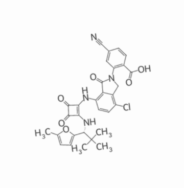 Cc1ccc([C@H](Nc2c(Nc3ccc(Cl)c4c3C(=O)N(c3cc(C#N)ccc3C(=O)O)C4)c(=O)c2=O)C(C)(C)C)o1